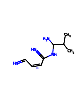 CC(C)C(N)NC(=N)/C=C\C=N